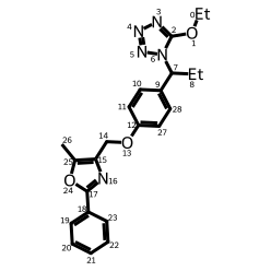 CCOc1nnnn1C(CC)c1ccc(OCc2nc(-c3ccccc3)oc2C)cc1